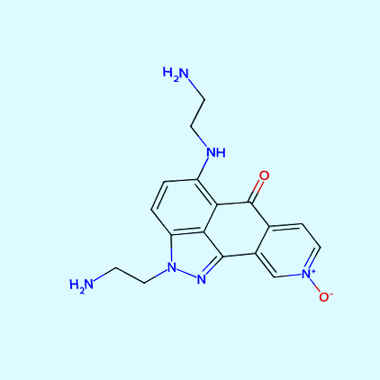 NCCNc1ccc2c3c(nn2CCN)-c2c[n+]([O-])ccc2C(=O)c13